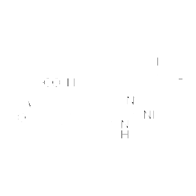 O=C(O)[C@H]1CCC[C@@H]1C(=O)c1ccc(-c2ccc(Nc3nc4cc(F)c(F)cc4[nH]3)cc2)cc1